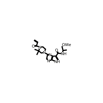 C=CC(=O)N1CCN(c2cnc3[nH]cc(C(=O)NC(C)COC)c3n2)CC1(C)C